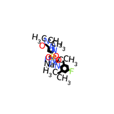 CC(C)c1cc(F)cc(C(C)C)c1NC(=O)NS(=O)(=O)c1cc(C(=O)N(C)C)n(C)n1.[Na]